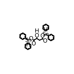 O=C(CC(O)C(=O)[O][SnH]([c]1ccccc1)[c]1ccccc1)[O][SnH]([c]1ccccc1)[c]1ccccc1